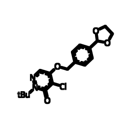 CC(C)(C)n1ncc(OCc2ccc(C3OCCO3)cc2)c(Cl)c1=O